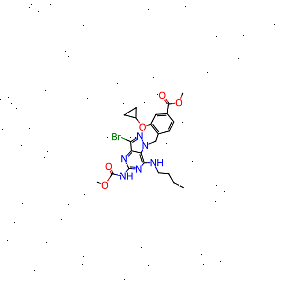 CCCCNc1nc(NC(=O)OC)nc2c(Br)nn(Cc3ccc(C(=O)OC)cc3OC3CC3)c12